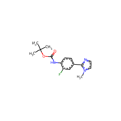 Cn1ccnc1-c1ccc(NC(=O)OC(C)(C)C)c(F)c1